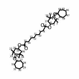 CC1(C)CC(OC(=O)CCCCCCCCC(=O)OC2CC(C)(C)N(OC3CCCCCC3)C(C)(C)C2)CC(C)(C)N1OC1CCCCCC1